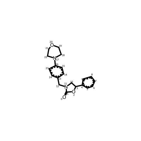 O=C1OC(c2ccccc2)CN1Cc1ccc(N2CCOCC2)cc1